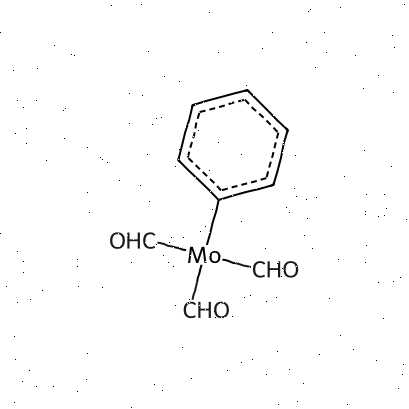 O=[CH][Mo]([CH]=O)([CH]=O)[c]1ccccc1